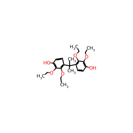 CCOc1c(O)ccc(C(C)(C)c2ccc(O)c(OCC)c2OCC)c1OCC